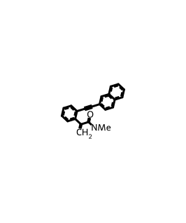 C=C(C(=O)NC)c1ccccc1C#Cc1ccc2ccccc2c1